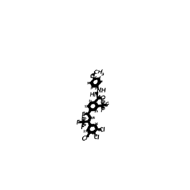 COc1ccc(NNC(=O)c2ccc(/C(F)=C/C(c3cc(Cl)c(Cl)c(Cl)c3)C(F)(F)F)cc2C(F)(F)F)cc1